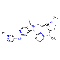 C=CCn1c(=O)c2cnc(Nc3cnn(C(C)C)c3)nc2n1-c1cccc(N(C)C2CCN(C)CC2)n1